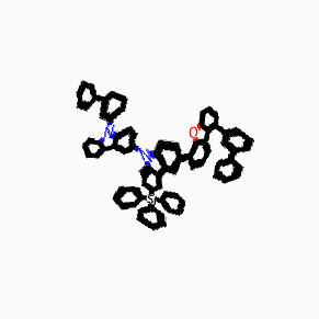 c1ccc(-c2cccc(-c3cccc4oc5c(-c6ccc7c(c6)c6cc([Si](c8ccccc8)(c8ccccc8)c8ccccc8)ccc6n7-c6ccc7c(c6)c6ccccc6n7-c6cccc(-c7ccccc7)c6)cccc5c34)c2)cc1